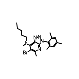 CCCCCN(C)c1c(Br)c(C)nc2c1nnn2-c1c(C)cc(C)cc1C